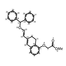 COC(=O)COc1cccc2c1CCC(/C=N/OC(c1ccccc1)c1ccccc1)=C2